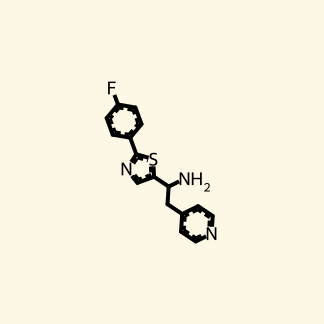 NC(Cc1ccncc1)c1cnc(-c2ccc(F)cc2)s1